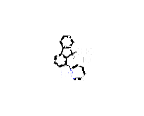 O=CC1(C=O)c2ccccc2-c2cccc(C3=CC=CC=CN3)c21